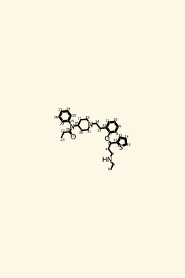 CCNCCC(Oc1ccccc1CCN1CCC(N(C(=O)CC)c2ccccc2)CC1)c1cccs1